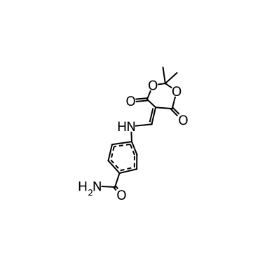 CC1(C)OC(=O)C(=CNc2ccc(C(N)=O)cc2)C(=O)O1